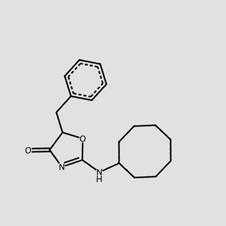 O=C1N=C(NC2CCCCCCC2)OC1Cc1ccccc1